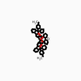 C=CC1=CCC(C2(C3CC=CCC3)c3cc(N(C4=CC=C(F)CC4)C4=CC=CC5OC6CCC=C(N(C7=CCC(F)CC7)c7ccc8c(c7)C(C7=CC=C(C=C)CC7)(c7ccccc7)C7C=CC=CC87)C6C45)ccc3C3C=CC=CC32)C=C1